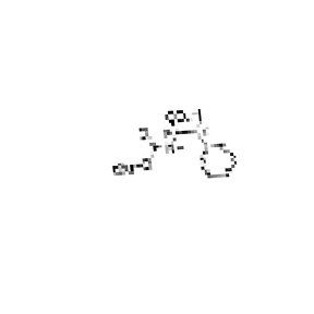 C[C@H](c1ccccc1)[C@@H](NC(=O)OC(C)(C)C)C(=O)O